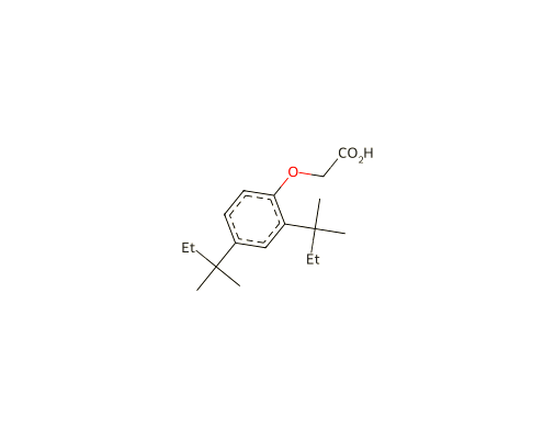 CCC(C)(C)c1ccc(OCC(=O)O)c(C(C)(C)CC)c1